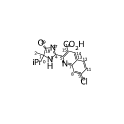 CC(C)C1(C)NC(c2nc3cc(Cl)ccc3cc2C(=O)O)=NC1=O